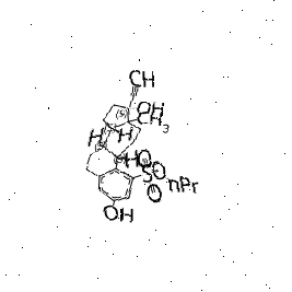 C#C[C@]1(O)CC[C@H]2[C@@H]3CCc4cc(O)cc(S(=O)(=O)OCCC)c4[C@H]3CCC21C